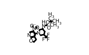 CC(C)(C)OC(=O)NC1CC(C(F)(F)F)CN(c2c([N+](=O)[O-])cnc3c2CCO3)C1